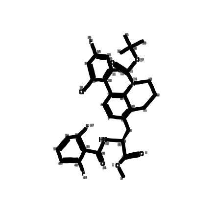 COC(=O)[C@H](Cc1ccc(-c2c(Cl)cc(F)cc2Cl)c2c1CCCN2C(=O)OC(C)(C)C)NC(=O)c1c(F)cccc1F